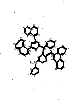 c1ccc([SiH2]c2ccc3c(-c4cc5ccccc5c5ccccc45)c4ccccc4c(-c4cc(-c5cccc6ccccc56)cc(-c5cccc6ccccc56)c4)c3c2)cc1